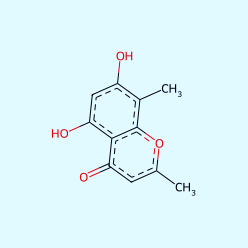 Cc1cc(=O)c2c(O)cc(O)c(C)c2o1